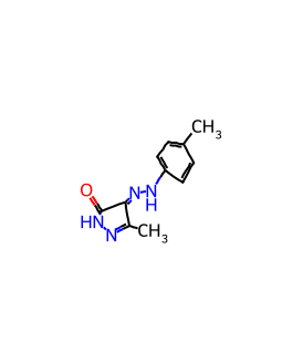 CC1=NNC(=O)/C1=N/Nc1ccc(C)cc1